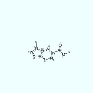 COC(=O)c1ncc2cnn(C)c2n1